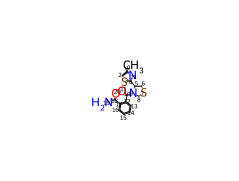 Cc1csc(C2CSCN2C(=O)c2ccccc2C(N)=O)n1